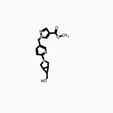 COC(=O)c1cnn(Cc2ccc(N3CC4C(CO)C4C3)nc2)c1